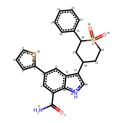 NC(=O)c1cc(-c2cccs2)cc2c(C3CCS(=O)(=O)C(c4ccccc4)C3)c[nH]c12